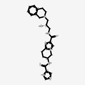 O=C(NC[C@H](O)CN1CCc2ccccc2C1)c1cn2c(n1)CCC(NC(=O)c1cocn1)C2